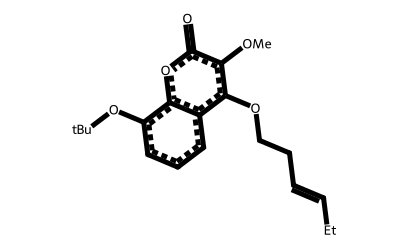 CC/C=C/CCOc1c(OC)c(=O)oc2c(OC(C)(C)C)cccc12